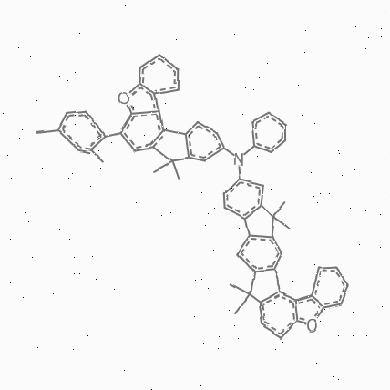 Cc1ccc(-c2cc3c(c4c2oc2ccccc24)-c2ccc(N(c4ccccc4)c4ccc5c(c4)C(C)(C)c4cc6c(cc4-5)C(C)(C)c4ccc5oc7ccccc7c5c4-6)cc2C3(C)C)c(C)c1